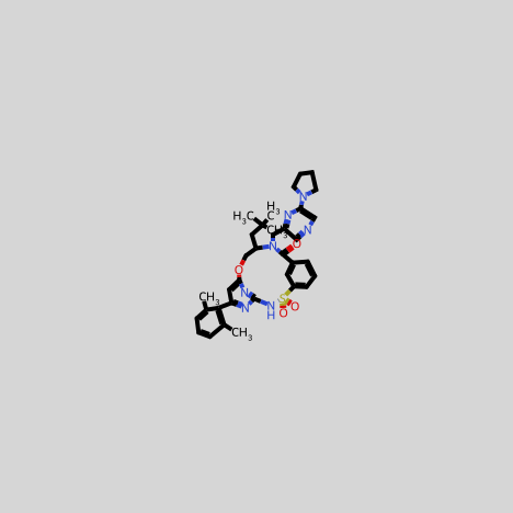 Cc1cccc(C)c1-c1cc2nc(n1)NS(=O)(=O)c1cccc(c1)C(=O)N(Cc1cncc(N3CCCC3)n1)C(CC(C)(C)C)CO2